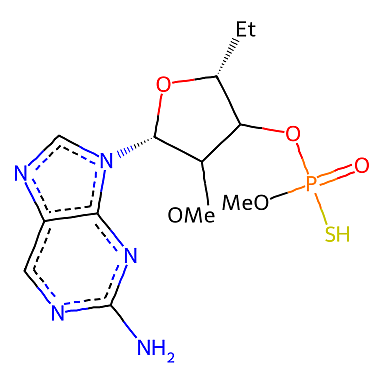 CC[C@H]1O[C@@H](n2cnc3cnc(N)nc32)C(OC)C1OP(=O)(S)OC